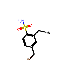 CNCc1cc(CBr)ccc1S(N)(=O)=O